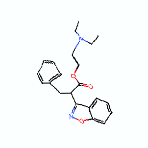 CCN(CC)CCOC(=O)C(Cc1ccccc1)c1noc2ccccc12